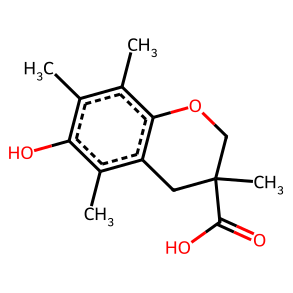 Cc1c(C)c2c(c(C)c1O)CC(C)(C(=O)O)CO2